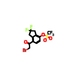 O=C(CBr)c1ccc(OS(=O)(=O)C(F)(F)F)c2c1CC(F)(F)C2